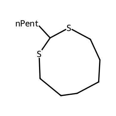 CCCCCC1SCCCCCCS1